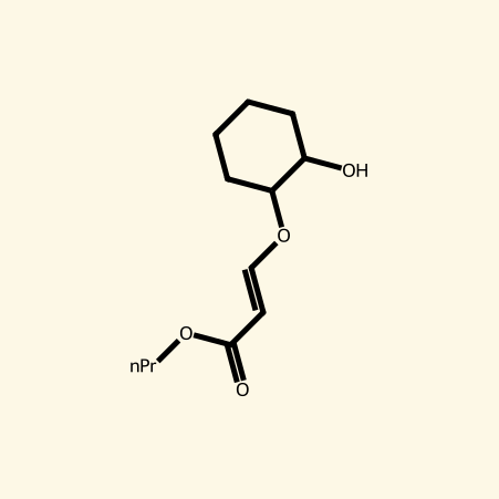 CCCOC(=O)C=COC1CCCCC1O